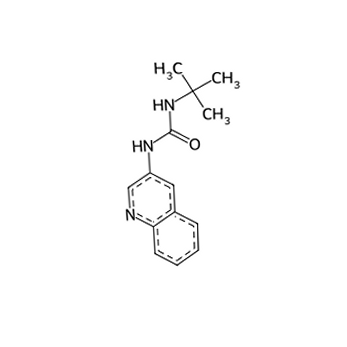 CC(C)(C)NC(=O)Nc1cnc2ccccc2c1